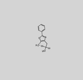 [2H]C([2H])(O)Cc1nc(-c2ccccc2)oc1C